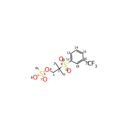 CC(C)(COS(C)(=O)=O)S(=O)(=O)c1cccc(C(F)(F)F)c1